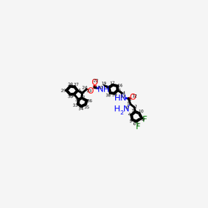 N[C@@H](Cc1ccc(F)c(F)c1)C(=O)NCc1ccc(CNC(=O)OCC2c3ccccc3-c3ccccc32)cc1